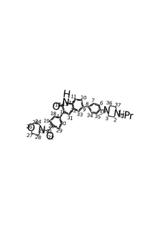 CC(C)N1CCN(c2ccc(-c3ccc4[nH]c(=O)c(-c5ccc(C(=O)N6CCOCC6)cc5)cc4c3)cc2)CC1